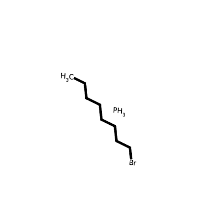 CCCCCCCCBr.P